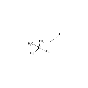 C[N+](C)(C)C.I[I-]I